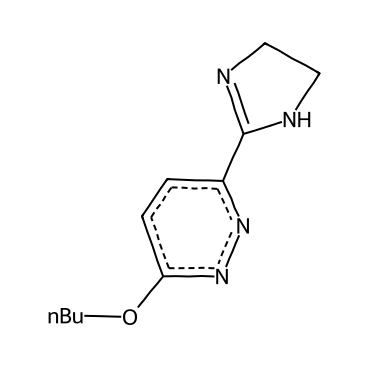 CCCCOc1ccc(C2=NCCN2)nn1